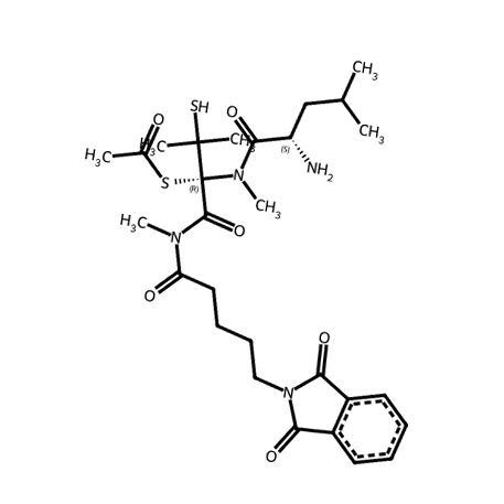 CC(=O)S[C@@](C(=O)N(C)C(=O)CCCCN1C(=O)c2ccccc2C1=O)(N(C)C(=O)[C@@H](N)CC(C)C)C(C)(C)S